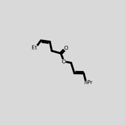 CC/C=C\CC(=O)OC/C=C/CCC